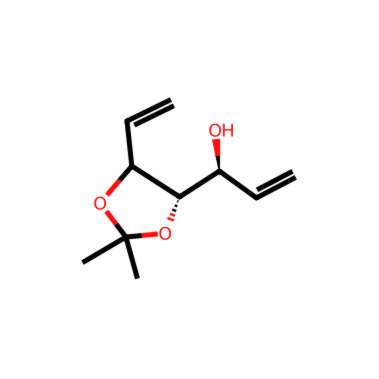 C=CC1OC(C)(C)O[C@H]1[C@@H](O)C=C